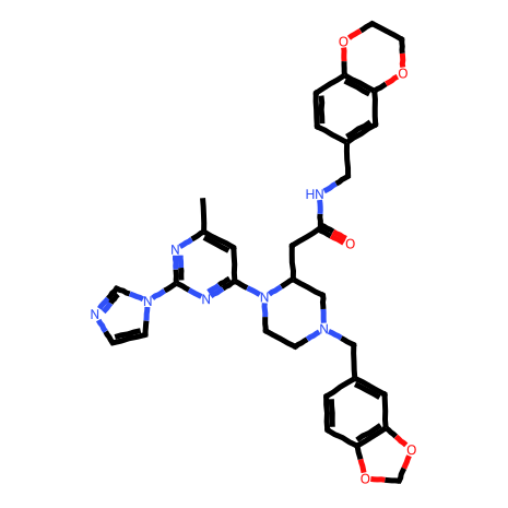 Cc1cc(N2CCN(Cc3ccc4c(c3)OCO4)CC2CC(=O)NCc2ccc3c(c2)OCCO3)nc(-n2ccnc2)n1